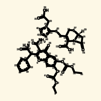 CCOC(=O)Oc1cc2oc(C(C(N)=O)c3ccccc3)c(C(N)=O)c(=O)c2cc1OC(=O)OCC.O=C(O)Cn1nnnc1SCC1=C(C(=O)O)N2C(=O)C[C@@H]2SC1